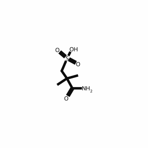 CC(C)(CS(=O)(=O)O)C(N)=O